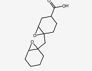 O=C(O)C1CCC2(CC34CCCCC3O4)OC2C1